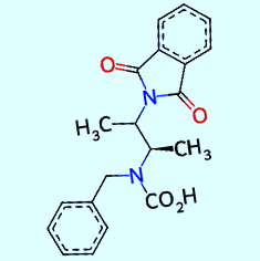 CC([C@@H](C)N(Cc1ccccc1)C(=O)O)N1C(=O)c2ccccc2C1=O